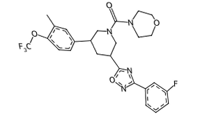 Cc1cc(C2CC(c3nc(-c4cccc(F)c4)no3)CN(C(=O)N3CCOCC3)C2)ccc1OC(F)(F)F